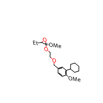 CCC1O[C@@]1(OC)OCCOCc1ccc(OC)c(C2CCCCC2)c1